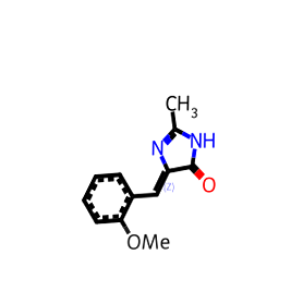 COc1ccccc1/C=C1\N=C(C)NC1=O